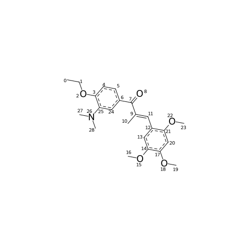 CCOc1ccc(C(=O)/C(C)=C/c2cc(OC)c(OC)cc2OC)cc1N(C)C